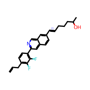 C=CCc1ccc(-c2cc3ccc(/C=C/CCCC(C)O)cc3cn2)c(F)c1F